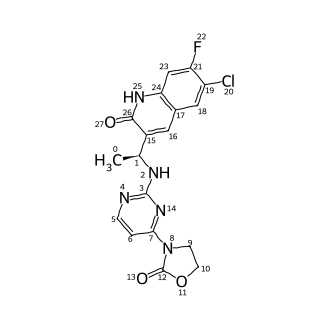 C[C@H](Nc1nccc(N2CCOC2=O)n1)c1cc2cc(Cl)c(F)cc2[nH]c1=O